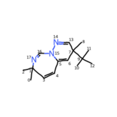 CC1(C)C=CC2=CC(C)(C(C)(C)C)C=NN2C=N1